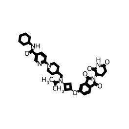 CC(C)N(CC1CCN(c2ccc(C(=O)NC3CCCCC3)cn2)CC1)[C@H]1C[C@H](Oc2ccc3c(c2)C(=O)N(C2CCC(=O)NC2=O)C3=O)C1